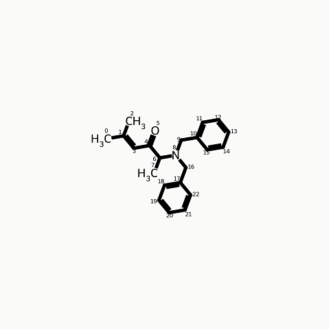 CC(C)=CC(=O)C(C)N(Cc1ccccc1)Cc1ccccc1